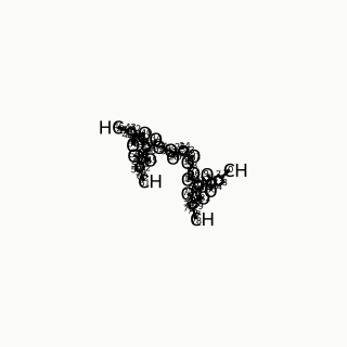 C#Cc1ccc2c(c1)C(=O)N(c1cc(C(=O)OCCOC(=O)c3cccc(C(=O)OCCOC(=O)c4cc(N5C(=O)c6ccc(C#C)cc6C5=O)cc(N5C(=O)c6ccc(C#C)cc6C5=O)c4)c3)cc(N3C(=O)c4ccc(C#C)cc4C3=O)c1)C2=O